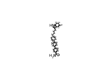 CC1=Cc2c(CCCCN3CCN(c4ncc(-c5ccc(C(N)=O)cn5)cn4)CC3)c[nH]c2CC1